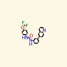 O=C(Nc1ccc(OC(F)F)cc1)Nc1cccc(-c2ccc3ncccc3c2)c1